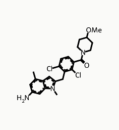 COC1CCN(C(=O)c2ccc(Cl)c(Cc3cc4c(C)cc(N)cc4n3C)c2Cl)CC1